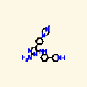 CN1CCN(c2ccc(-c3cnc(N)nc3Nc3cccc(C4CCNCC4)c3)cc2)CC1